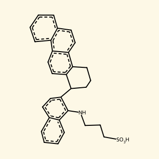 O=S(=O)(O)CCCNc1c(C2CCCc3c2ccc2c3ccc3ccccc32)ccc2ccccc12